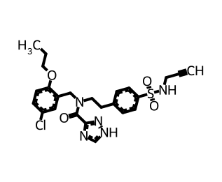 C#CCNS(=O)(=O)c1ccc(CCN(Cc2cc(Cl)ccc2OCCC)C(=O)c2nc[nH]n2)cc1